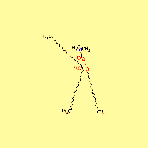 CCCCCC=CCC=CCCCCCCCCOC(CCOC(=O)CCN(C)C)C(O)(CCCCCCCCC=CCC=CCCCCC)CCCCCCCCC=CCC=CCCCCC